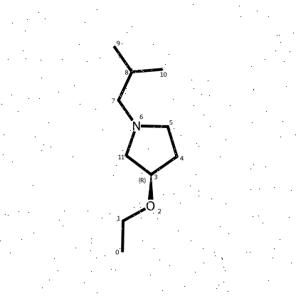 CCO[C@@H]1CCN(C[C](C)C)C1